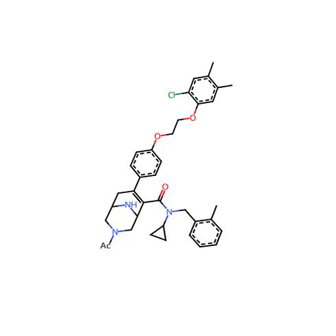 CC(=O)N1CC2CC(c3ccc(OCCOc4cc(C)c(C)cc4Cl)cc3)=C(C(=O)N(Cc3ccccc3C)C3CC3)C(C1)N2